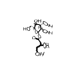 O=C(OC1O[C@H](CO)[C@H](O)[C@H](O)[C@H]1O)C(O)CO